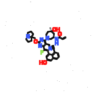 C#Cc1cccc2cc(O)cc(-c3ncc4c(N5CC[C@@](C)(O)C[C@H](NC(=O)C=C)C5)nc(OCC56CCCN5CCC6)nc4c3F)c12